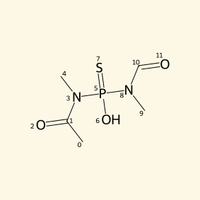 CC(=O)N(C)P(O)(=S)N(C)C=O